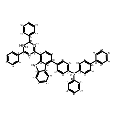 c1ccc(C2=NC(c3ccc(-c4ccc(N(c5ccccc5)c5ccc(-c6ccccc6)cc5)cc4)c4c3oc3ccccc34)=NC(c3ccccc3)N2)cc1